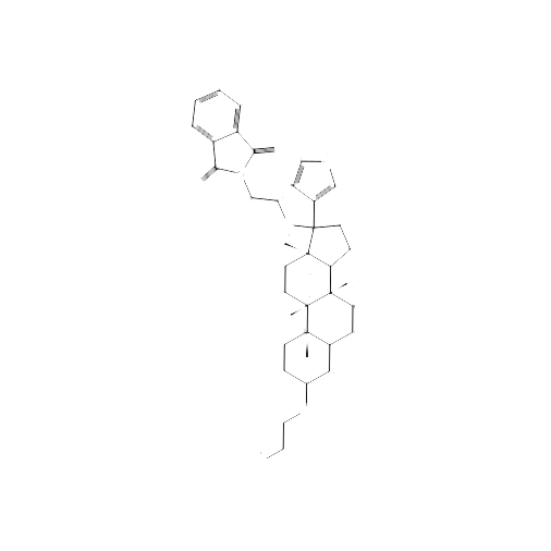 C[C@]12CCC(OCCO)CC1CC[C@@H]1[C@H]2CC[C@@]2(C)[C@H]1CCC2(OCCN1C(=O)c2ccccc2C1=O)c1ccoc1